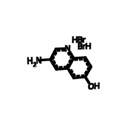 Br.Br.Nc1cnc2ccc(O)cc2c1